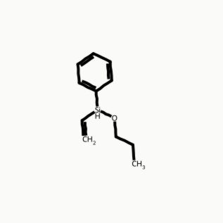 C=C[SiH](OCCC)c1ccccc1